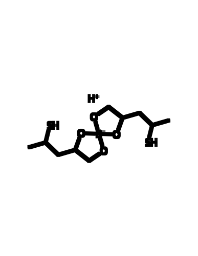 CC(S)CC1CO[B-]2(OCC(CC(C)S)O2)O1.[H+]